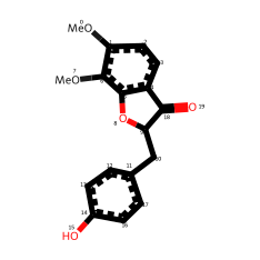 COc1ccc2c(c1OC)OC(Cc1ccc(O)cc1)C2=O